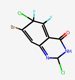 O=C1NC(Cl)N=C2C=C(Br)C(F)(Cl)C(F)=C12